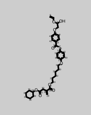 C=COC(O)COc1ccc(C(=O)Sc2ccc(OCCCCCCOC(=O)C(=C)CC(=O)OC3CCCCC3)cc2)cc1